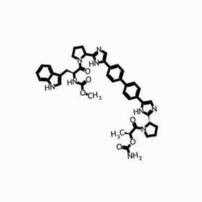 COC(=O)N[C@@H](Cc1c[nH]c2ccccc12)C(=O)N1CCCC1c1ncc(-c2ccc(-c3ccc(-c4cnc([C@@H]5CCCN5C(=O)[C@H](C)OC(N)=O)[nH]4)cc3)cc2)[nH]1